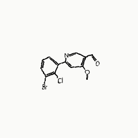 COc1cc(-c2cccc(Br)c2Cl)ncc1C=O